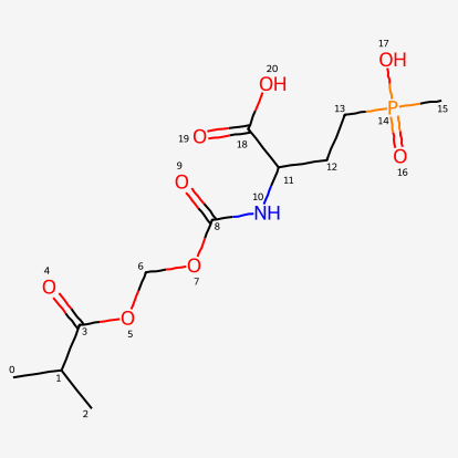 CC(C)C(=O)OCOC(=O)NC(CCP(C)(=O)O)C(=O)O